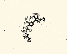 CC1(c2cc(NC(=O)Nc3ccc(-c4nn(C5CC5)c5ncnc(N)c45)cc3C(F)F)on2)CC1